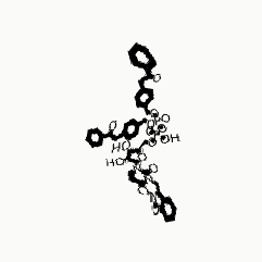 O=C(Cc1ccc(COP(=O)(OCc2ccc(CC(=O)c3ccccc3)cc2)OP(=O)(O)OC[C@H]2O[C@@H](n3ccc(=O)n(Cc4noc5ccccc45)c3=O)[C@@H](O)[C@H]2O)cc1)c1ccccc1